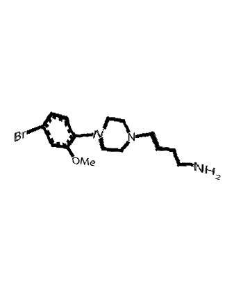 COc1cc(Br)ccc1N1CCN(CCCCN)CC1